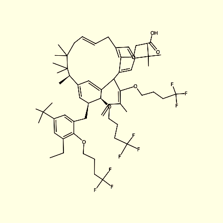 C=C/C(C)=C(/OCCCC(F)(F)F)C1C2=CC(=C[C@H](Cc3cc(C(C)(C)C)cc(CC)c3OCCCC(F)(F)F)[C@@H]2OCCCC(F)(F)F)[C@@H](C)C(C)(C)C(C)(C)C/C=C/Cc2cc(C(C)(C)C)cc1c2OCC(=O)O